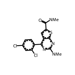 CNC(=O)c1cc2c(-c3ccc(Cl)cc3Cl)nc(NC)nc2s1